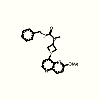 COc1ccc2nccc(N3CC(N(C)C(=O)OCc4ccccc4)C3)c2n1